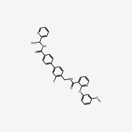 COc1cccc(Oc2ncccc2C(=O)NCc2ccc(-c3ccc(C(=O)NC(O)c4ccccn4)cc3)cc2F)c1